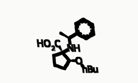 CCCCO[C@H]1CCC[C@]1(N[C@@H](C)c1ccccc1)C(=O)O